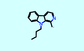 [CH2]c1nccc2c3ccccc3n(CCCC)c12